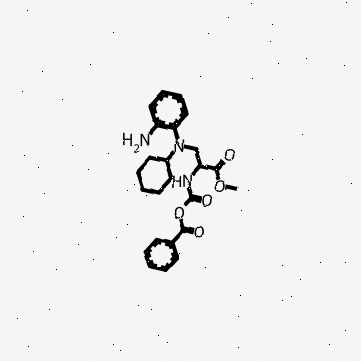 COC(=O)C(CN(c1ccccc1N)C1CCCCC1)NC(=O)OC(=O)c1ccccc1